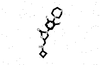 O=C1OC(CNC2CCC2)CN1c1cc(F)c(N2CCCSCC2)c(F)c1